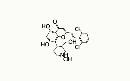 Cl.O=c1cc(C=Cc2c(Cl)cccc2Cl)oc2c(C3CCNCC3CO)c(O)cc(O)c12